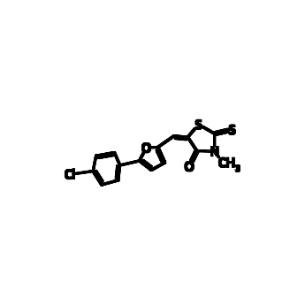 CN1C(=O)/C(=C\c2ccc(-c3ccc(Cl)cc3)o2)SC1=S